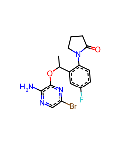 CC(Oc1nc(Br)cnc1N)c1cc(F)ccc1N1CCCC1=O